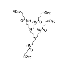 CCCCCCCCCCCCCC(=O)NCCCN(CCCNC(=O)CCCCCCCCCCCCC)CCCN(CCCNC(=O)CCCCCCCCCCCCC)CCCNC(=O)CCCCCCCCCCCCC